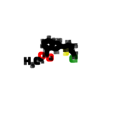 CCOC(=O)c1cccc2c1CC(c1ccc(CCl)s1)C2